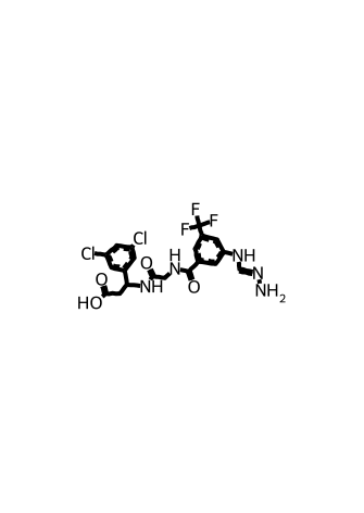 NN=CNc1cc(C(=O)NCC(=O)NC(CC(=O)O)c2cc(Cl)cc(Cl)c2)cc(C(F)(F)F)c1